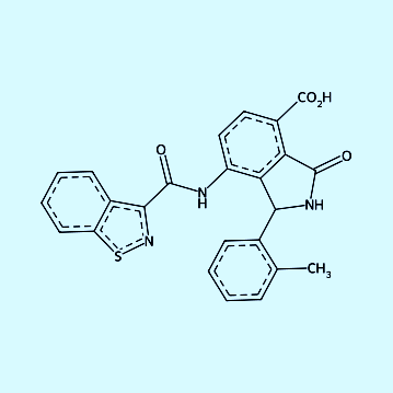 Cc1ccccc1C1NC(=O)c2c(C(=O)O)ccc(NC(=O)c3nsc4ccccc34)c21